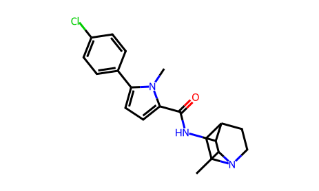 CC1C(NC(=O)c2ccc(-c3ccc(Cl)cc3)n2C)C2CCN1CC2